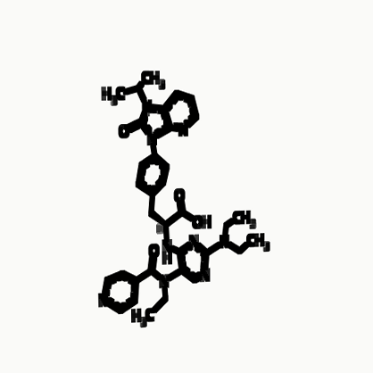 CCN(CC)c1ncc(N(CC)C(=O)c2ccncc2)c(N[C@@H](Cc2ccc(-n3c(=O)n(C(C)C)c4cccnc43)cc2)C(=O)O)n1